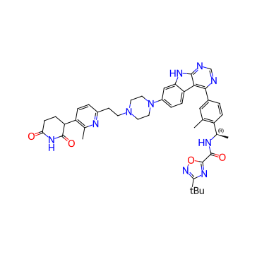 Cc1cc(-c2ncnc3[nH]c4cc(N5CCN(CCc6ccc(C7CCC(=O)NC7=O)c(C)n6)CC5)ccc4c23)ccc1[C@@H](C)NC(=O)c1nc(C(C)(C)C)no1